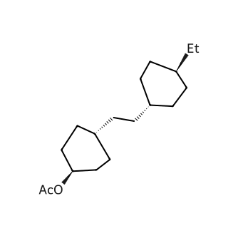 CC[C@H]1CC[C@H](CC[C@H]2CC[C@H](OC(C)=O)CC2)CC1